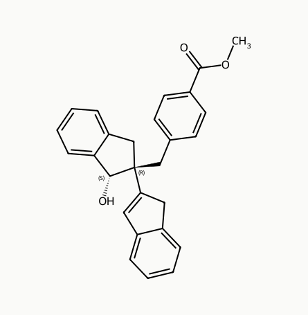 COC(=O)c1ccc(C[C@]2(C3=Cc4ccccc4C3)Cc3ccccc3[C@H]2O)cc1